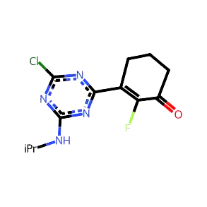 CC(C)Nc1nc(Cl)nc(C2=C(F)C(=O)CCC2)n1